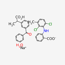 CC(C(=O)O)c1cccc(C(=O)c2ccccc2)c1.Cc1ccc(Cl)c(Nc2ccccc2C(=O)[O-])c1Cl.O.[Na+]